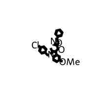 COc1ccc2c(c1)c(C(=O)c1cnc(-c3ccccc3)o1)c(C)n2Cc1ccc(Cl)cc1